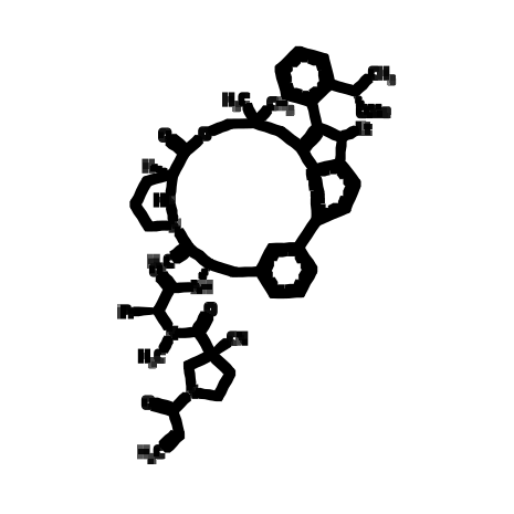 C=CC(=O)N1CC[C@@](C#N)(C(=O)N(C)[C@H](C(=O)N[C@H]2Cc3cccc(c3)-c3ccc4c(c3)C(=C(c3ccccc3[C@H](C)OC)C4CC)CC(C)(C)COC(=O)[C@@H]3CCCN(N3)C2=C)C(C)C)C1